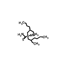 CCCCC(CC)C[S]([Mo])(CC(CC)CCCC)C(N)=S